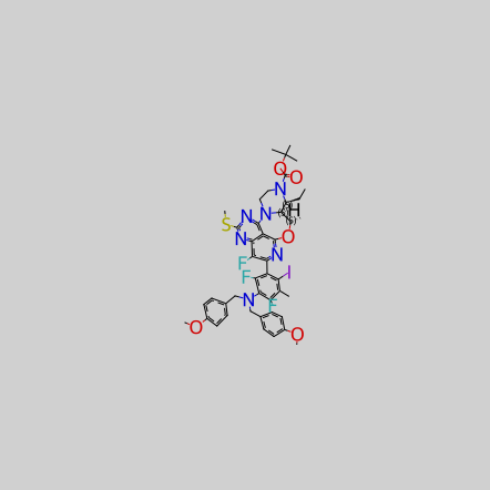 CC[C@H]1[C@H]2[C@H](C)Oc3nc(-c4c(F)c(N(Cc5ccc(OC)cc5)Cc5ccc(OC)cc5)c(F)c(C)c4I)c(F)c4nc(SC)nc(c34)N2CCN1C(=O)OC(C)(C)C